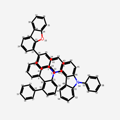 c1ccc(-c2ccccc2-c2c(-c3ccccc3)cccc2N(c2ccc(-c3cccc4c3oc3ccccc34)cc2)c2cccc3c2c2ccccc2n3-c2ccccc2)cc1